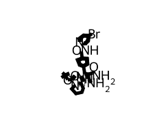 CC(C)(C)OC(=O)N1CCCC[C@H]1c1nc(-c2ccc(C(=O)Nc3cc(Br)ccn3)cc2)c(C(N)=O)n1N